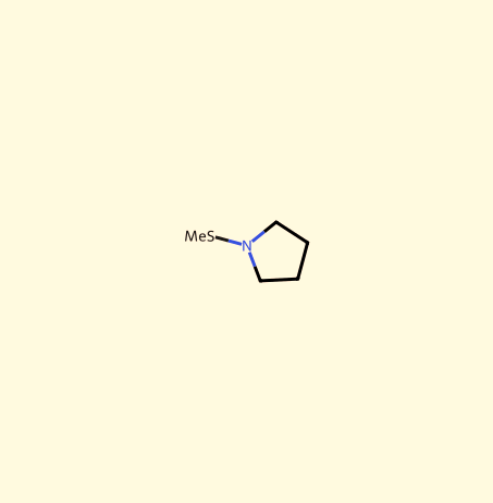 [CH2]SN1CCCC1